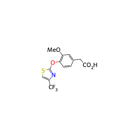 COc1cc(CC(=O)O)ccc1Oc1nc(C(F)(F)F)cs1